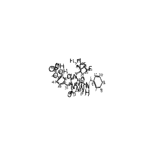 CN(C(=O)NCC1=CCCC=C1)N1CC(=O)N2[C@H]1CN(Cc1ccc(F)c3sc(N)nc13)C(=O)[C@@H]2Cc1ccc(OP(=O)(O)O)cc1